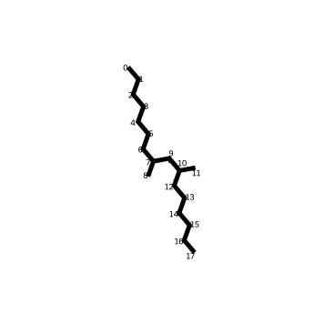 CCCCCCCC(C)[CH]C(C)CCCCCC